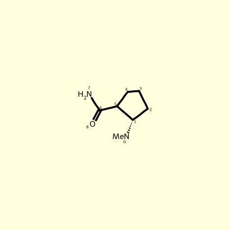 CN[C@H]1CCCC1C(N)=O